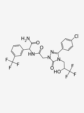 NC(=O)C(NC(=O)Cn1nc(-c2ccc(Cl)cc2)n(CC(O)C(F)(F)F)c1=O)c1cccc(C(F)(F)F)c1